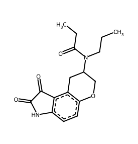 CCCN(C(=O)CC)C1COc2ccc3c(c2C1)C(=O)C(=O)N3